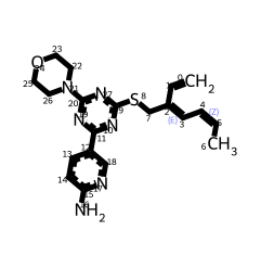 C=C/C(=C\C=C/C)CSc1nc(-c2ccc(N)nc2)nc(N2CCOCC2)n1